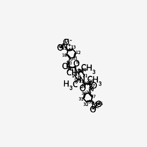 C[C@H]1CN(C(=O)[C@@]2(C)O[C@@H]2c2cccc([N+](=O)[O-])c2)[C@@H](C)CN1C(=O)[C@@]1(C)O[C@@H]1c1cccc([N+](=O)[O-])c1